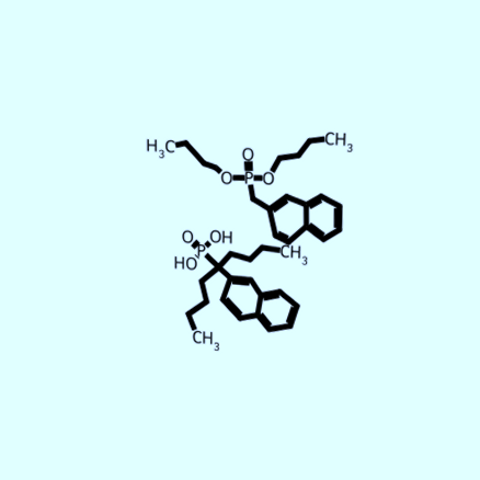 CCCCC(CCCC)(c1ccc2ccccc2c1)P(=O)(O)O.CCCCOP(=O)(Cc1ccc2ccccc2c1)OCCCC